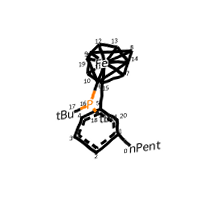 CCCCCc1cccc([C]23[CH]4[CH]5[CH]6[CH]2[Fe]56432789[CH]3[CH]2[CH]7[C]8(P(C(C)(C)C)C(C)(C)C)[CH]39)c1